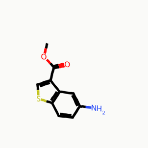 COC(=O)c1csc2ccc(N)cc12